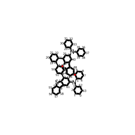 c1ccc(N(c2ccccc2)c2cc(-c3ccc(-c4ccccc4-c4cc(N(c5ccccc5)c5ccccc5)cc5c4sc4ccccc45)cc3)c3sc4ccccc4c3c2)cc1